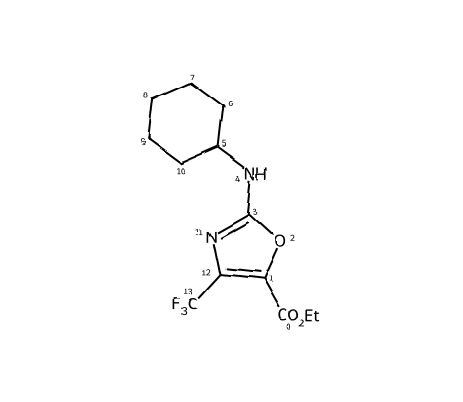 CCOC(=O)c1oc(NC2CCCCC2)nc1C(F)(F)F